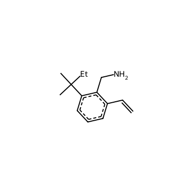 C=Cc1cccc(C(C)(C)CC)c1CN